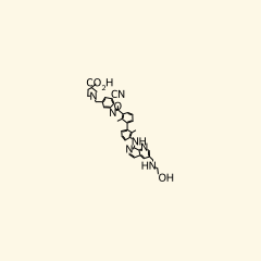 Cc1c(Nc2nccc3cc(CNCCO)cnc23)cccc1-c1cccc(-c2nc3cc(CN4CCC(C)(C(=O)O)C4)cc(C#N)c3o2)c1C